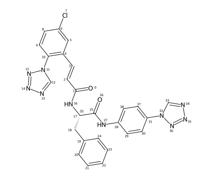 O=C(C=Cc1cc(Cl)ccc1-n1cnnn1)N[C@@H](Cc1ccccc1)C(=O)Nc1ccc(-n2cnnn2)cc1